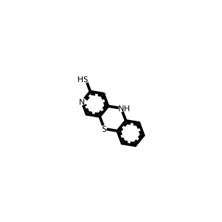 Sc1[c]c2c(cn1)Sc1ccccc1N2